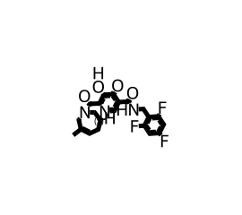 CC1=CC[C@H]2CN(C1)C(=O)c1c(O)c(=O)c(C(=O)NCc3c(F)cc(F)cc3F)cn12